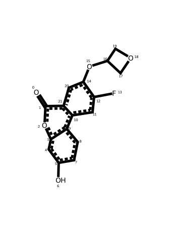 O=c1oc2cc(O)ccc2c2cc(F)c(OC3COC3)cc12